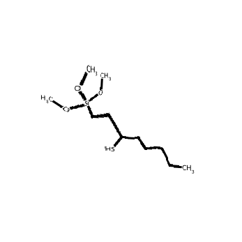 CCCCCC(S)CC[Si](OC)(OC)OC